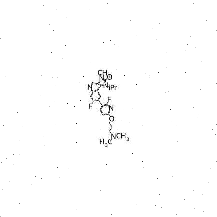 CC(C)n1c(=O)n(C)c2cnc3cc(F)c(-c4ccc(OCCCN(C)C)nc4F)cc3c21